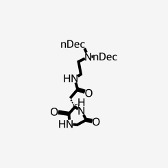 CCCCCCCCCCN(CCCCCCCCCC)CCNC(=O)C[C@@H]1NC(=O)CNC1=O